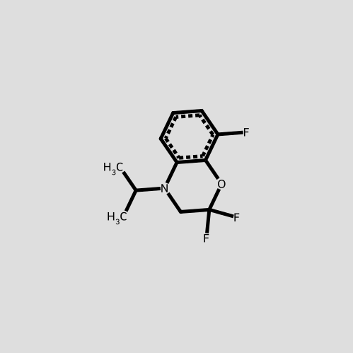 CC(C)N1CC(F)(F)Oc2c(F)cccc21